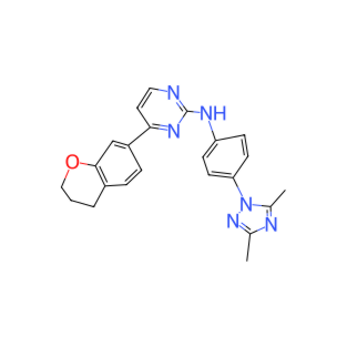 Cc1nc(C)n(-c2ccc(Nc3nccc(-c4ccc5c(c4)OCCC5)n3)cc2)n1